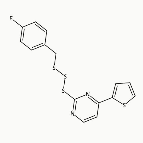 Fc1ccc(CSSSc2nccc(-c3cccs3)n2)cc1